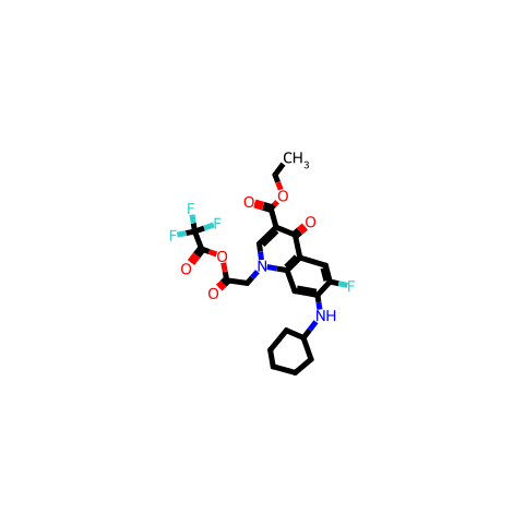 CCOC(=O)c1cn(CC(=O)OC(=O)C(F)(F)F)c2cc(NC3CCCCC3)c(F)cc2c1=O